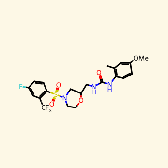 COc1ccc(NC(=O)NCC2CN(S(=O)(=O)c3ccc(F)cc3C(F)(F)F)CCO2)c(C)c1